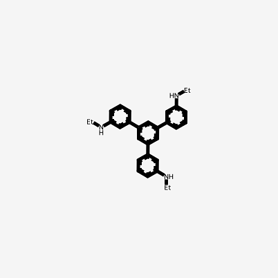 CCNc1cccc(-c2cc(-c3cccc(NCC)c3)cc(-c3cccc(NCC)c3)c2)c1